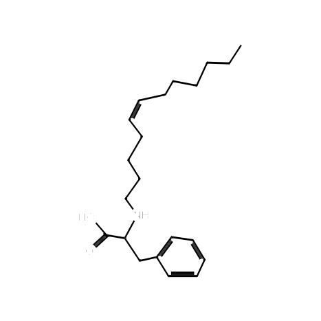 CCCCCC/C=C\CCCCNC(Cc1ccccc1)C(=O)O